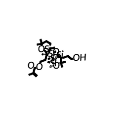 C=C(C)C(=O)OCCC[Si](O[Si](C)(C)CCCO)([Si]1(C)CCC(C)(C)O[Si]1(C)C)[Si]1(C)CCC(C)(C)O[Si]1(C)C